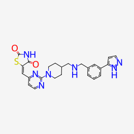 O=C1NC(=O)/C(=C\c2ccnc(N3CCC(CNCc4cccc(-c5ccn[nH]5)c4)CC3)n2)S1